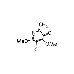 COc1nn(C)c(=O)c(OC)c1Cl